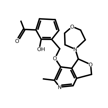 CC(=O)c1cccc(COc2c(C)ncc3c2C(N2CCOCC2)OC3)c1O